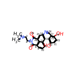 CN(C)CCN1C(=O)c2cccc3cc(/N=C\c4cc(O)ccc4O)cc(c23)C1=O